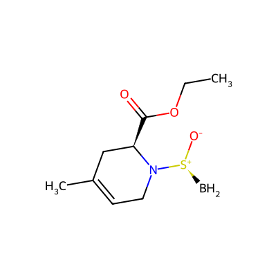 B[S@+]([O-])N1CC=C(C)C[C@H]1C(=O)OCC